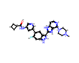 CN1CCN(c2nccc3[nH]c(-c4n[nH]c5cc(F)c(-c6cncc(NC(=O)C7CCC7)c6)cc45)nc23)CC1